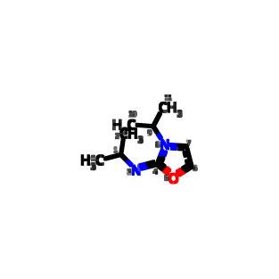 CC(C)/N=c1/occn1C(C)C